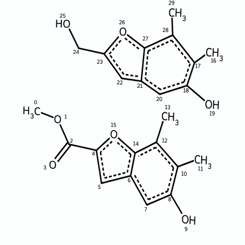 COC(=O)c1cc2cc(O)c(C)c(C)c2o1.Cc1c(O)cc2cc(CO)oc2c1C